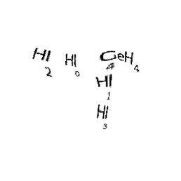 I.I.I.I.[GeH4]